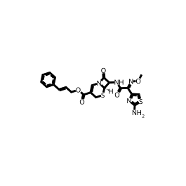 CON=C(C(=O)NC1C(=O)N2C=C(C(=O)OCC=Cc3ccccc3)CS[C@H]12)c1csc(N)n1